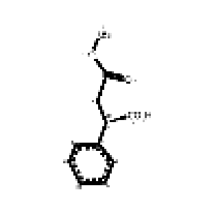 CC(C)(C)OC(=O)C[C@@H](C(=O)O)c1ccccc1